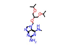 CNc1nc(N)nc2ncn(COC(COC(C)C)COC(C)C)c12